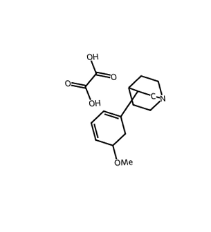 COC1C=CC=C(C2CN3CCC2CC3)C1.O=C(O)C(=O)O